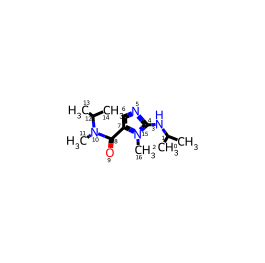 CC(C)Nc1ncc(C(=O)N(C)C(C)C)n1C